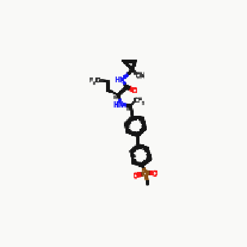 CS(=O)(=O)c1ccc(-c2ccc([C@H](N[C@@H](CCC(F)(F)F)C(=O)NC3(C#N)CC3)C(F)(F)F)cc2)cc1